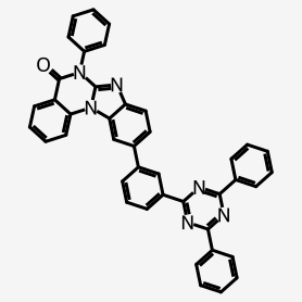 O=c1c2ccccc2n2c3cc(-c4cccc(-c5nc(-c6ccccc6)nc(-c6ccccc6)n5)c4)ccc3nc2n1-c1ccccc1